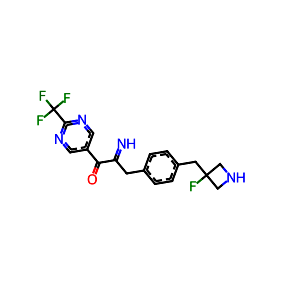 N=C(Cc1ccc(CC2(F)CNC2)cc1)C(=O)c1cnc(C(F)(F)F)nc1